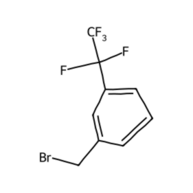 FC(F)(F)C(F)(F)c1cccc(CBr)c1